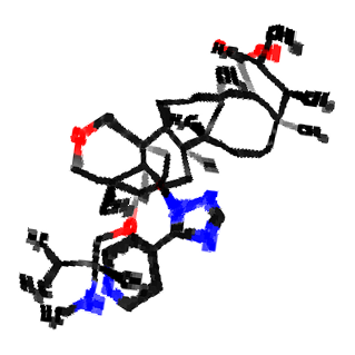 CN[C@@](C)(CO[C@H]1[C@H](n2ncnc2-c2ccncc2)C[C@@]23COC[C@]1(C)[C@@H]2CC[C@H]1C3=CC[C@@]2(C)[C@H](C(=O)O)[C@@](C)([C@H](C)C(C)C)CC[C@]12C)C(C)C